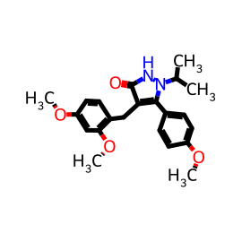 COc1ccc(-c2c(Cc3ccc(OC)cc3OC)c(=O)[nH]n2C(C)C)cc1